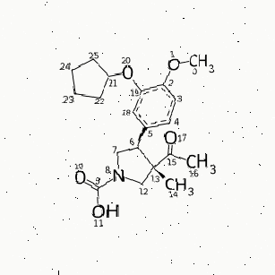 COc1ccc([C@@H]2CN(C(=O)O)C[C@@]2(C)C(C)=O)cc1OC1CCCC1